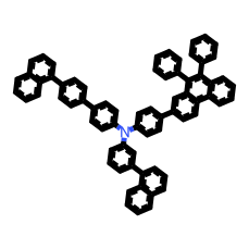 c1ccc(-c2c(-c3ccccc3)c3cc(-c4ccc(N(c5ccc(-c6ccc(-c7cccc8ccccc78)cc6)cc5)c5cccc(-c6cccc7ccccc67)c5)cc4)ccc3c3ccccc23)cc1